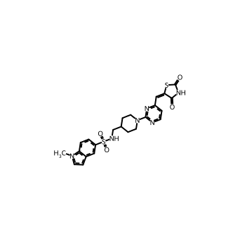 Cn1ccc2cc(S(=O)(=O)NCC3CCN(c4nccc(/C=C5/SC(=O)NC5=O)n4)CC3)ccc21